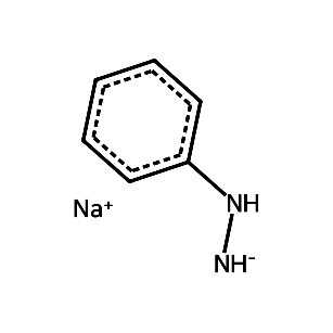 [NH-]Nc1ccccc1.[Na+]